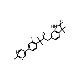 Cc1ncc(-c2ccc(C(C)(C)C(=O)Cc3ccc4c(c3)NC(=O)C4(C)C)c(C)c2)cn1